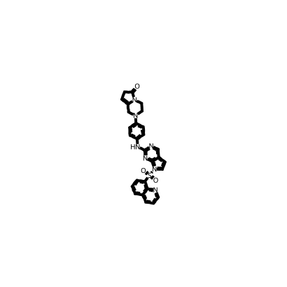 O=C1CC=C2CN(c3ccc(Nc4ncc5ccn(S(=O)(=O)c6cccc7cccnc67)c5n4)cc3)CCN12